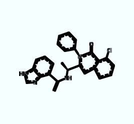 C=C(N[C@@H](C)c1cc2cccc(Cl)c2c(=O)n1-c1ccccc1)c1cccc2[nH]cnc12